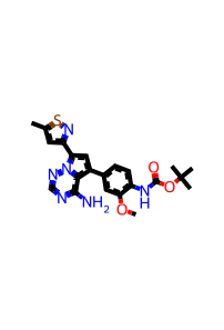 COc1cc(-c2cc(-c3cc(C)sn3)n3ncnc(N)c23)ccc1NC(=O)OC(C)(C)C